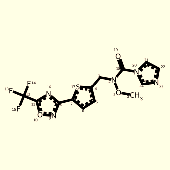 CON(Cc1ccc(-c2noc(C(F)(F)F)n2)s1)C(=O)n1ccnc1